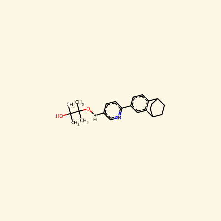 CC(C)(O)C(C)(C)OBc1ccc(-c2ccc3c(c2)C2CCC3CC2)nc1